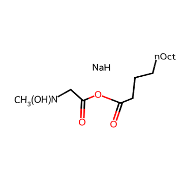 CCCCCCCCCCCC(=O)OC(=O)CN(C)O.[NaH]